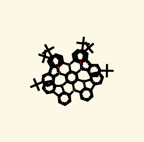 CC(C)(C)c1ccc(N(c2ccc(C(C)(C)C)cc2)c2c(-n3c4ccc(C(C)(C)C)cc4c4cc(C(C)(C)C)ccc43)c3c4c(c2-n2c5ccc(C(C)(C)C)cc5c5cc(C(C)(C)C)ccc52)B2c5ccccc5-c5cccc(c52)N4c2cccc4c2B3c2ccccc2-4)cc1